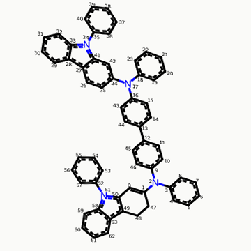 C1=C(N(c2ccccc2)c2ccc(-c3ccc(N(c4ccccc4)c4ccc5c6ccccc6n(-c6ccccc6)c5c4)cc3)cc2)CCc2c1n(-c1ccccc1)c1ccccc21